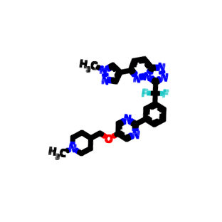 CN1CCC(COc2cnc(-c3cccc(C(F)(F)c4nnc5ccc(-c6cnn(C)c6)nn45)c3)nc2)CC1